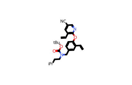 C=Cc1cc(CN(CCC(C)C)C(=O)OC(C)(C)C)ccc1Oc1ncc(C#N)cc1C=C